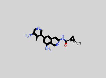 Cc1c(N)cncc1-c1cc(N)c2cnc(NC(=O)[C@H]3C[C@@H]3C#N)cc2c1